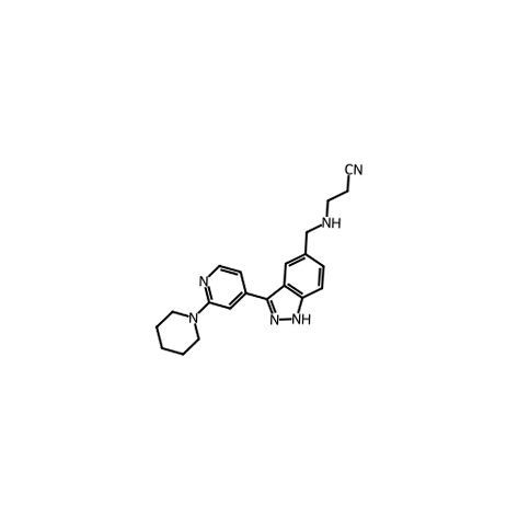 N#CCCNCc1ccc2[nH]nc(-c3ccnc(N4CCCCC4)c3)c2c1